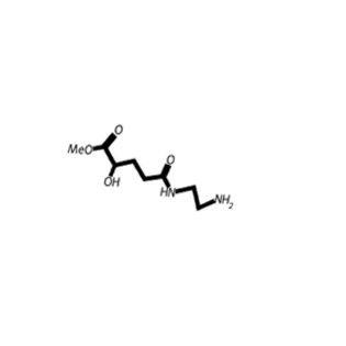 COC(=O)C(O)CCC(=O)NCCN